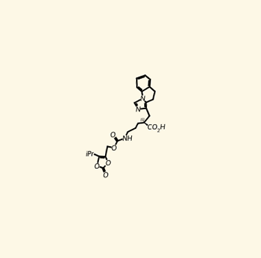 CC(C)c1oc(=O)oc1COC(=O)NCCC[C@@H](Cc1ncn2c1CCc1ccccc1-2)C(=O)O